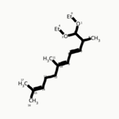 CCOC(OCC)C(C)/C=C/C=C(\C)CCC=C(C)C